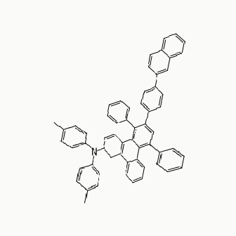 Cc1ccc(N(c2ccc(C)cc2)C2C=Cc3c(c4ccccc4c4c(-c5ccccc5)cc(-c5ccc(-c6ccc7ccccc7c6)cc5)c(-c5ccccc5)c34)C2)cc1